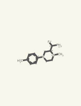 Cc1ccc(N2CCN(C)C(C(F)P)C2)cc1